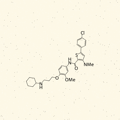 CNc1cc(-c2ccc(Cl)cc2)sc1C(=O)Nc1ccc(OCCCNC2CCCCC2)c(OC)c1